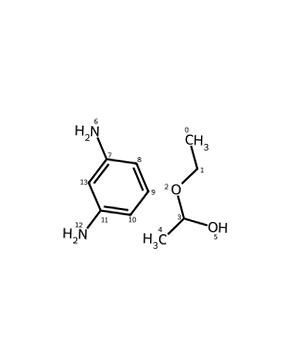 CCOC(C)O.Nc1cccc(N)c1